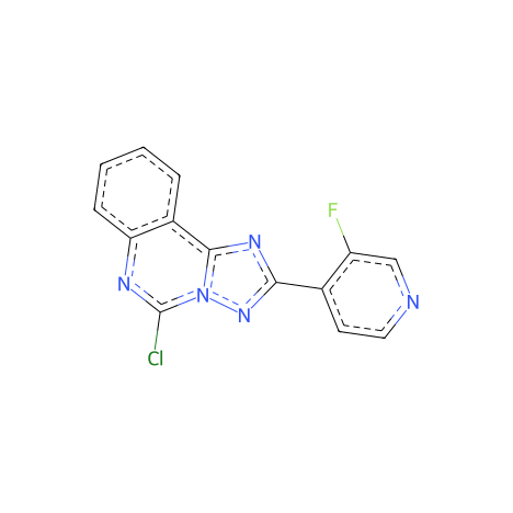 Fc1cnccc1-c1nc2c3ccccc3nc(Cl)n2n1